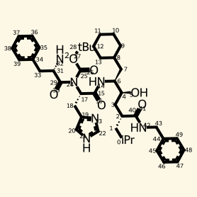 CC(C)C[C@H](C[C@H](O)[C@H](CC1CCCCC1)NC(=O)[C@H](Cc1c[nH]cn1)N(C(=O)OC(C)(C)C)C(=O)[C@@H](N)Cc1ccccc1)C(=O)NCc1ccccc1